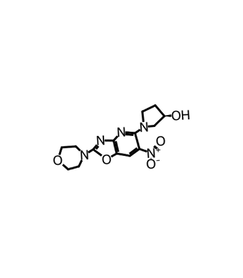 O=[N+]([O-])c1cc2oc(N3CCOCC3)nc2nc1N1CC[C@@H](O)C1